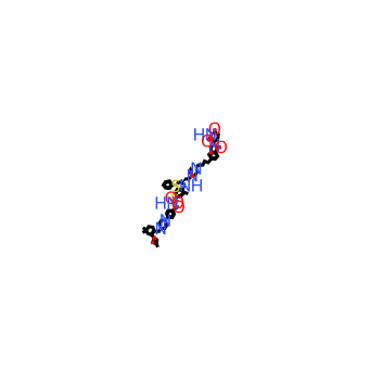 Cc1cc(S(=O)(=O)NC(=O)c2ccc(N3CCN(CC4=C(C56CC(C)(C5)C6)CC(C)(C)CC4)CC3)cc2)ccc1N[C@H](CCN1CCN(CCCCc2ccc3c(c2)CN(C2CCC(=O)NC2=O)C3=O)CC1)CSc1ccccc1